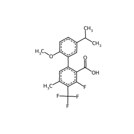 COc1ccc(C(C)C)cc1-c1cc(C)c(C(F)(F)F)c(F)c1C(=O)O